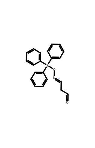 O=CC/C=N/O[Si](c1ccccc1)(c1ccccc1)c1ccccc1